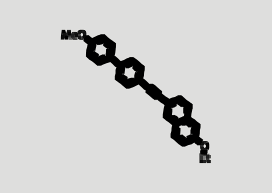 CCOc1ccc2cc(C#Cc3ccc(-c4ccc(OC)cc4)cc3)ccc2c1